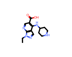 CCn1ncc2c(NC3CCNCC3)c(C(=O)O)cnc21